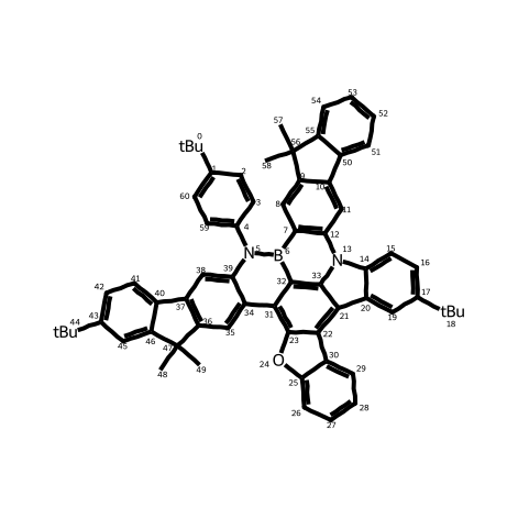 CC(C)(C)c1ccc(N2B3c4cc5c(cc4-n4c6ccc(C(C)(C)C)cc6c6c7c(oc8ccccc87)c(c3c64)-c3cc4c(cc32)-c2ccc(C(C)(C)C)cc2C4(C)C)-c2ccccc2C5(C)C)cc1